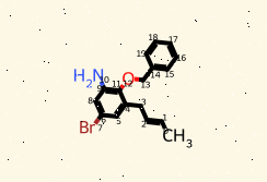 C/C=C/Cc1cc(Br)cc(N)c1OCc1ccccc1